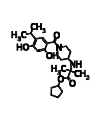 CC(C)c1cc(C(=O)N2CCC(NC(C)(C)C(=O)OC3CCCC3)CC2)c(O)cc1O